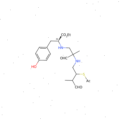 CCOC(=O)[C@H](Cc1ccc(O)cc1)NCC(C)(C=O)NCC(SC(C)=O)C(C)C=O